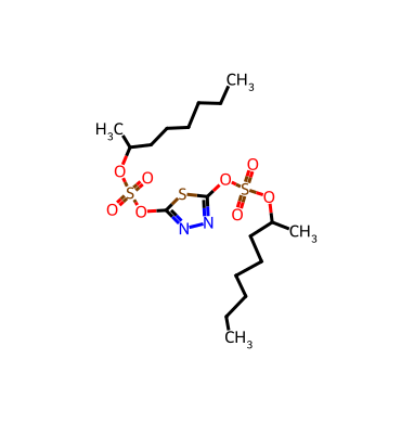 CCCCCCC(C)OS(=O)(=O)Oc1nnc(OS(=O)(=O)OC(C)CCCCCC)s1